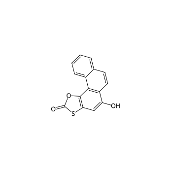 O=c1oc2c(cc(O)c3ccc4ccccc4c32)s1